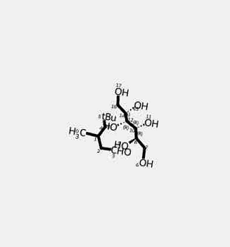 CC(CC=O)CC(C)(C)C.OC[C@@H](O)[C@@H](O)[C@H](O)[C@@H](O)CO